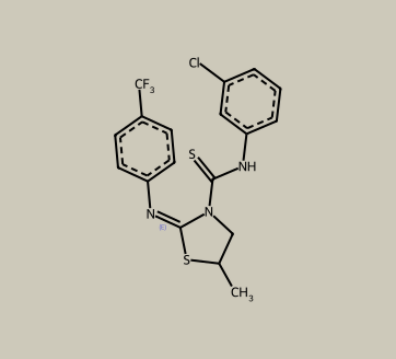 CC1CN(C(=S)Nc2cccc(Cl)c2)/C(=N\c2ccc(C(F)(F)F)cc2)S1